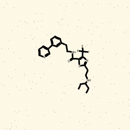 CCC(CC)NCCc1nc(C(F)(F)F)c(C(=O)NCCc2cccc(-c3cccnc3)c2)s1